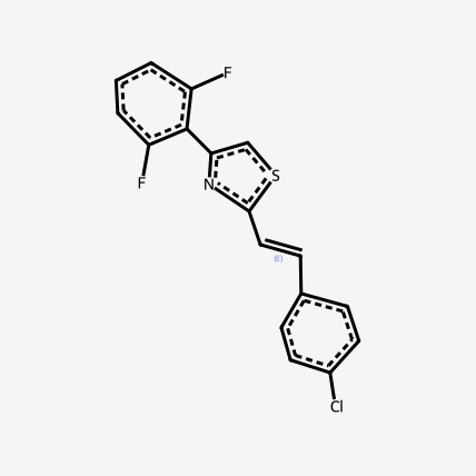 Fc1cccc(F)c1-c1csc(/C=C/c2ccc(Cl)cc2)n1